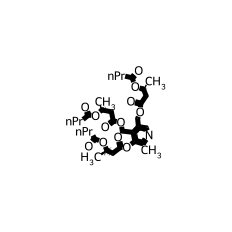 CCCC(=O)O[C@H](C)CC(=O)OCc1cnc(C)c(OC(=O)C[C@@H](C)OC(=O)CCC)c1COC(=O)C[C@@H](C)OC(=O)CCC